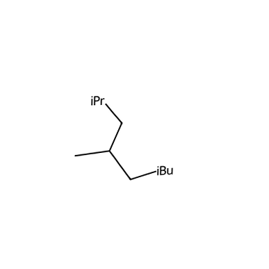 CCC(C)CC(C)CC(C)C